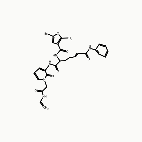 C=CNC(=O)Cn1cccc(NC(=O)C(CC/C=C/C(=O)Nc2ccccc2)NC(=O)c2cc(Br)oc2C)c1=O